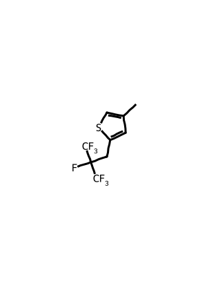 Cc1csc(CC(F)(C(F)(F)F)C(F)(F)F)c1